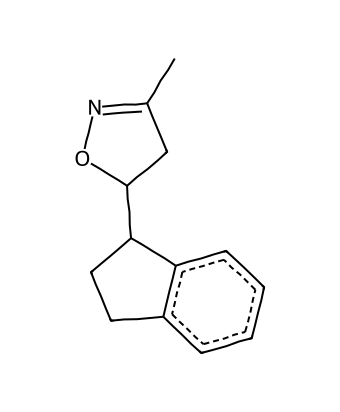 CC1=NOC(C2CCc3ccccc32)C1